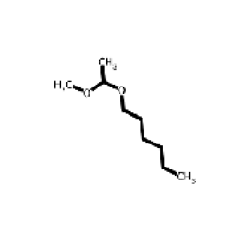 CCCCCCOC(C)OC